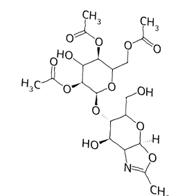 CC(=O)OCC1O[C@@H](O[C@@H]2C(CO)O[C@H]3OC(C)=NC3[C@H]2O)[C@@H](OC(C)=O)C(O)[C@H]1OC(C)=O